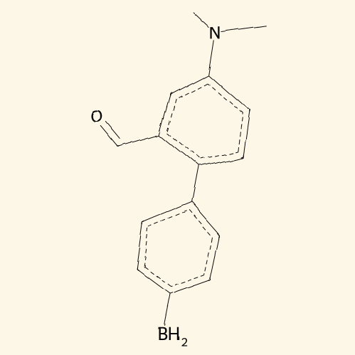 Bc1ccc(-c2ccc(N(C)C)cc2C=O)cc1